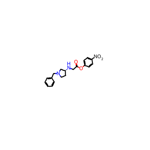 O=C(CN[C@@H]1CCN(Cc2ccccc2)C1)Oc1ccc([N+](=O)[O-])cc1